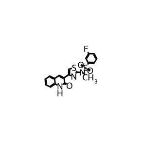 CN(c1nc(-c2cc3ccccc3[nH]c2=O)cs1)S(=O)(=O)c1cccc(F)c1